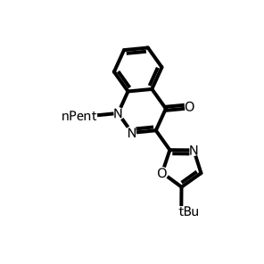 CCCCCn1nc(-c2ncc(C(C)(C)C)o2)c(=O)c2ccccc21